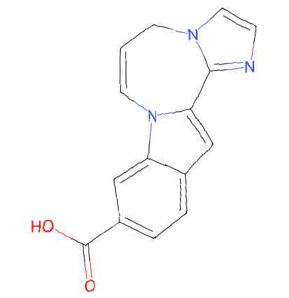 O=C(O)c1ccc2cc3n(c2c1)C=CCn1ccnc1-3